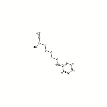 C#CC(O)CCCCCNc1ccccc1